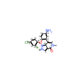 Cn1cc2c(=O)n(C)cc(-c3cc(N)ccc3Oc3ccc(Cl)cc3F)c2n1